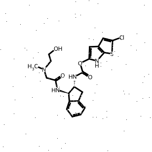 CN(CCO)CC(=O)N[C@@H]1c2ccccc2C[C@H]1NC(=O)Oc1cc2cc(Cl)sc2[nH]1